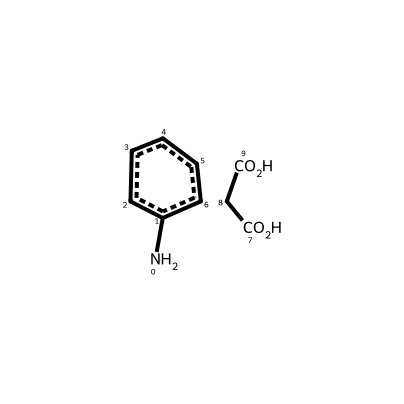 Nc1ccccc1.O=C(O)CC(=O)O